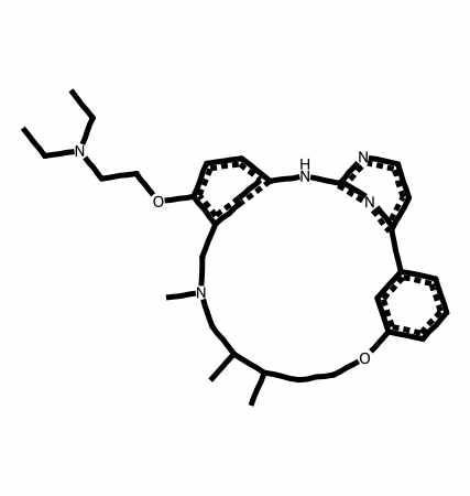 CCN(CC)CCOc1ccc2cc1CN(C)CC(C)C(C)CCOc1cccc(c1)-c1ccnc(n1)N2